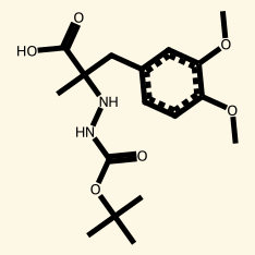 COc1ccc(CC(C)(NNC(=O)OC(C)(C)C)C(=O)O)cc1OC